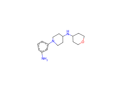 Nc1cccc(N2CCC(NC3CCOCC3)CC2)c1